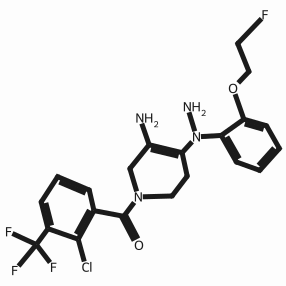 NC1=C(N(N)c2ccccc2OCCF)CCN(C(=O)c2cccc(C(F)(F)F)c2Cl)C1